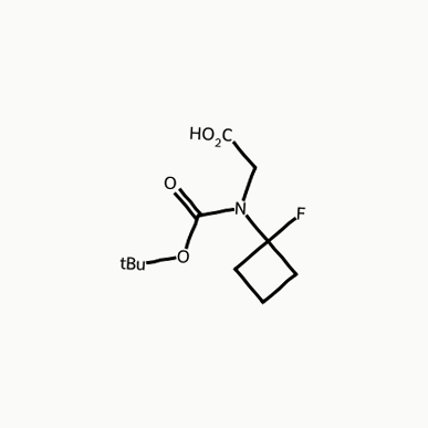 CC(C)(C)OC(=O)N(CC(=O)O)C1(F)CCC1